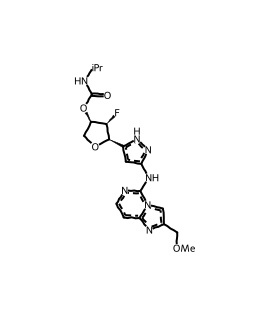 COCc1cn2c(Nc3cc([C@H]4OC[C@@H](OC(=O)NC(C)C)[C@H]4F)[nH]n3)nccc2n1